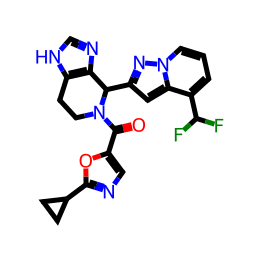 O=C(c1cnc(C2CC2)o1)N1CCc2[nH]cnc2C1c1cc2c(C(F)F)cccn2n1